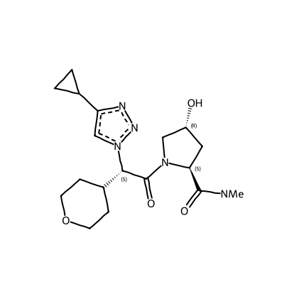 CNC(=O)[C@@H]1C[C@@H](O)CN1C(=O)[C@H](C1CCOCC1)n1cc(C2CC2)nn1